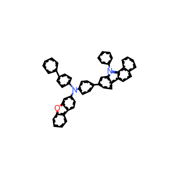 c1ccc(-c2ccc(N(c3ccc(-c4ccc5c6ccc7ccccc7c6n(-c6ccccc6)c5c4)cc3)c3ccc4c(c3)oc3ccccc34)cc2)cc1